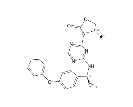 CC(C)[C@H]1COC(=O)N1c1ncnc(N[C@@H](C)c2ccc(Oc3ccccc3)cc2)n1